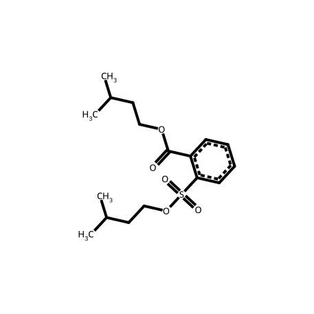 CC(C)CCOC(=O)c1ccccc1S(=O)(=O)OCCC(C)C